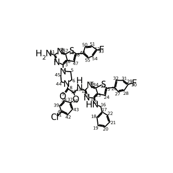 Nc1nc(N2CCN(C(=O)C(Nc3nc(NCc4ccccc4)c4cc(-c5ccc(F)cc5)sc4n3)Oc3ccc(Cl)cc3)CC2)c2cc(-c3ccc(F)cc3)sc2n1